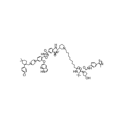 Cc1ncsc1-c1ccc(CNC(=O)[C@@H]2C[C@@H](O)CN2C(=O)[C@@H](NC(=O)CCCCCCCCCCN2CCCC(CNc3ccc(S(=O)(=O)NC(=O)c4ccc(N5CCN(CC6=C(c7ccc(Cl)cc7)CC(C)(C)CC6)CC5)cc4Oc4cnc5[nH]ccc5c4)cc3[N+](=O)[O-])C2)C(C)(C)C)cc1